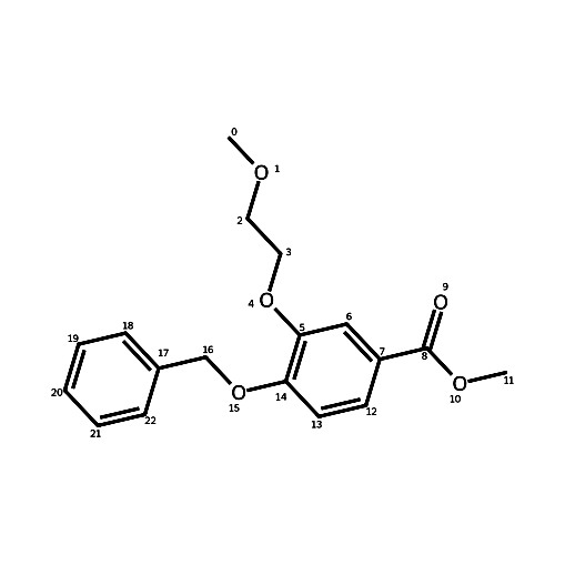 COCCOc1cc(C(=O)OC)ccc1OCc1ccccc1